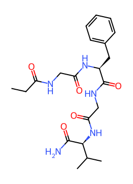 CCC(=O)NCC(=O)N[C@@H](Cc1ccccc1)C(=O)NCC(=O)N[C@H](C(N)=O)C(C)C